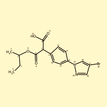 CCC(C)OC(=O)C(C(=O)O)c1ccc(-n2cc(Br)cn2)cc1